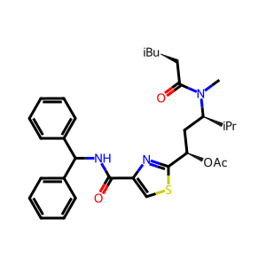 CC[C@H](C)CC(=O)N(C)[C@H](C[C@@H](OC(C)=O)c1nc(C(=O)NC(c2ccccc2)c2ccccc2)cs1)C(C)C